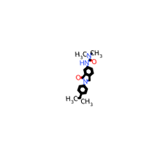 CC(C)c1ccc(N2Cc3ccc(NC(=O)N(C)C)cc3C2=O)cc1